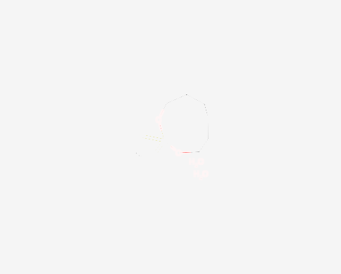 O.O.S=S1(=S)OCCCCCCO1.[NaH]